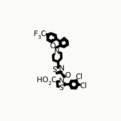 O=C(O)C1CSC(c2ccc(Cl)c(Cl)c2)N1C(=O)c1csc(C2CCN(C(=O)c3ccccc3-c3ccc(C(F)(F)F)cc3)CC2)n1